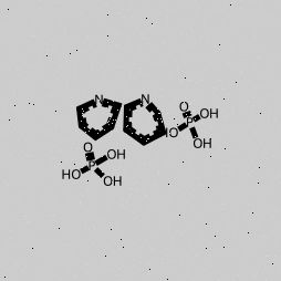 O=P(O)(O)O.O=P(O)(O)O.c1ccncc1.c1ccncc1